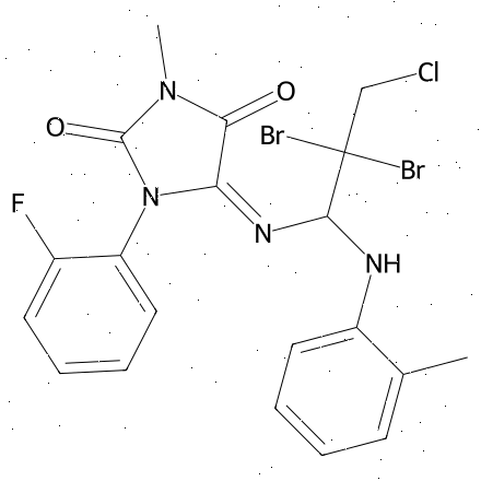 Cc1ccccc1NC(N=C1C(=O)N(C)C(=O)N1c1ccccc1F)C(Br)(Br)CCl